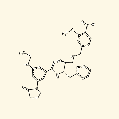 CCNc1cc(C(=O)N[C@@H](Cc2ccccc2)[C@@H](O)CNCc2ccc([N+](=O)[O-])c(OC)c2)cc(N2CCCC2=O)c1